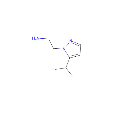 CC(C)c1ccnn1CCN